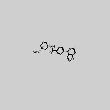 CO[C@@H]1CCC[C@H](NC(=O)c2ccc(-c3nccc4occc34)cc2)C1